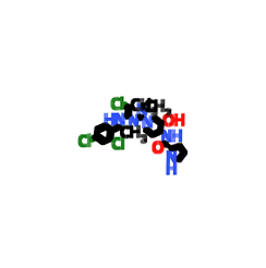 C=N/C(=N\C(N[C@H](C)c1ccc(Cl)cc1Cl)=C(/C)Cl)N1CC[C@@H](NC(=O)[C@H]2CCCN2)[C@H](O)C1